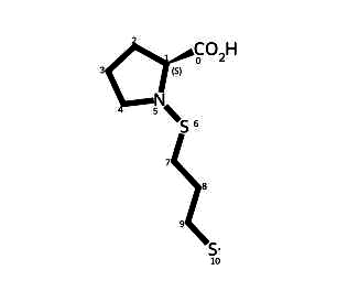 O=C(O)[C@@H]1CCCN1SCCC[S]